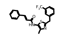 Cc1nc(Cc2cccc(C(F)(F)F)c2)sc1NC(=O)C=Cc1ccccc1